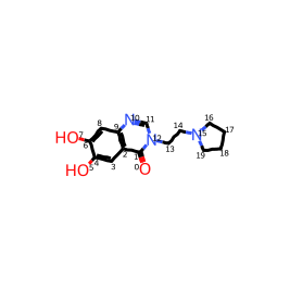 O=c1c2cc(O)c(O)cc2ncn1CCN1CCCC1